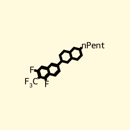 CCCCCC1CCC2CC(c3ccc4c(F)c(C(F)(F)F)c(F)cc4c3)CCC2C1